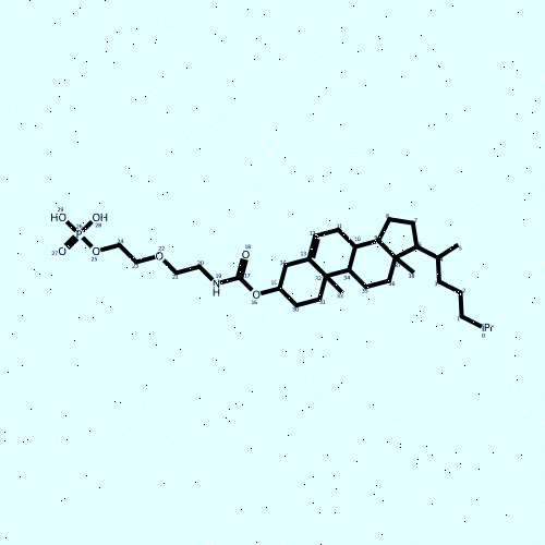 CC(C)CCCC(C)C1CCC2C3CC=C4CC(OC(=O)NCCOCCOP(=O)(O)O)CCC4(C)C3CCC12C